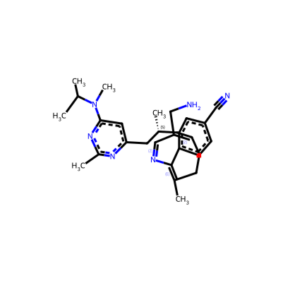 C\C1=C(c2ccc(C#N)cc2[C@@H](C)Cc2cc(N(C)C(C)C)nc(C)n2)/N=C\C(CN)=C/CC1